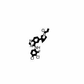 C=CC(=O)N1CC2CC2(c2ccc3ncnc(Nc4ccc(Cl)c(Cl)c4F)c3c2)C1